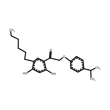 CCCCCCc1cc(C(=O)COc2ccc(C(C)C)cc2)c(O)cc1O